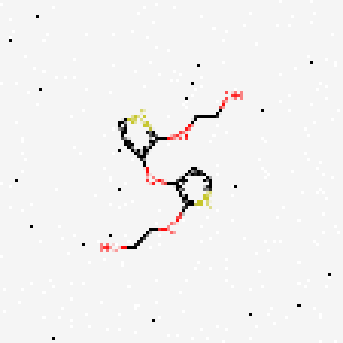 OCCOc1sccc1Oc1ccsc1OCCO